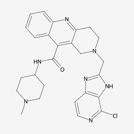 CN1CCC(NC(=O)c2c3c(nc4ccccc24)CCN(Cc2nc4ccnc(Cl)c4[nH]2)C3)CC1